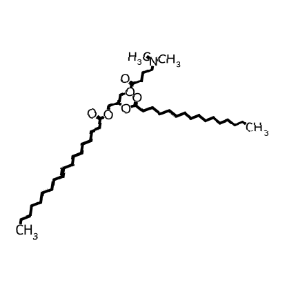 CCCCCCCCC=CCCCCCCCC(=O)OCC(COC(=O)CCCN(C)C)OC(=O)CCCCCCCCCCCCCCC